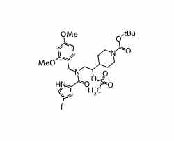 COc1ccc(CN(CC(OS(C)(=O)=O)C2CCN(C(=O)OC(C)(C)C)CC2)C(=O)c2cc(I)c[nH]2)c(OC)c1